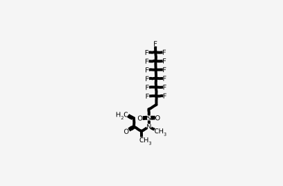 C=CC(=O)C(C)N(C)S(=O)(=O)CCC(F)(F)C(F)(F)C(F)(F)C(F)(F)C(F)(F)C(F)(F)F